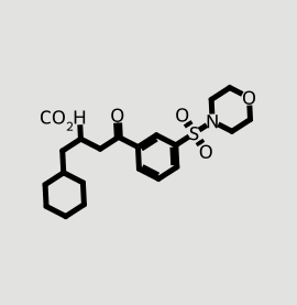 O=C(CC(CC1CCCCC1)C(=O)O)c1cccc(S(=O)(=O)N2CCOCC2)c1